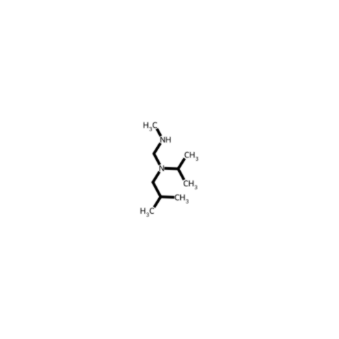 CNCN(CC(C)C)C(C)C